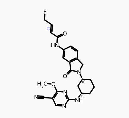 COc1nc(N[C@@H]2CCC[C@H](N3Cc4ccc(NC(=O)/C=C/CF)cc4C3=O)C2)ncc1C#N